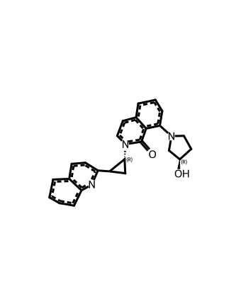 O=c1c2c(N3CC[C@@H](O)C3)cccc2ccn1[C@@H]1CC1c1ccc2ccccc2n1